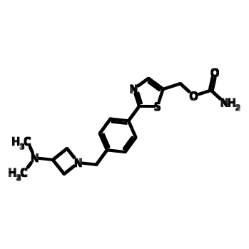 CN(C)C1CN(Cc2ccc(-c3ncc(COC(N)=O)s3)cc2)C1